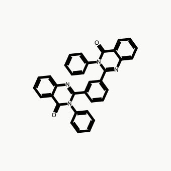 O=c1c2ccccc2nc(-c2cccc(-c3nc4ccccc4c(=O)n3-c3ccccc3)c2)n1-c1ccccc1